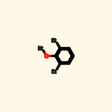 [CH2]COc1c(CC)cccc1CC